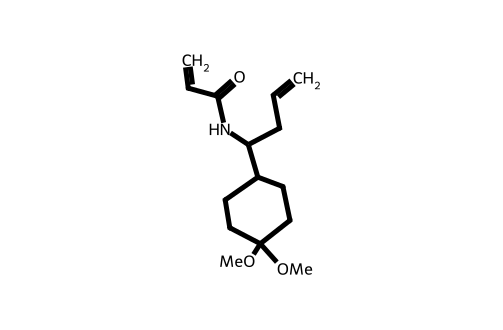 C=CCC(NC(=O)C=C)C1CCC(OC)(OC)CC1